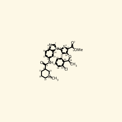 COC(=O)c1sc(-n2cnc3ccc(NC(=O)C4CCCN(C)C4)cc32)cc1OC(C)c1ccccc1Cl